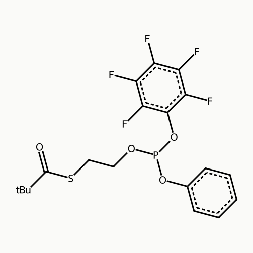 CC(C)(C)C(=O)SCCOP(Oc1ccccc1)Oc1c(F)c(F)c(F)c(F)c1F